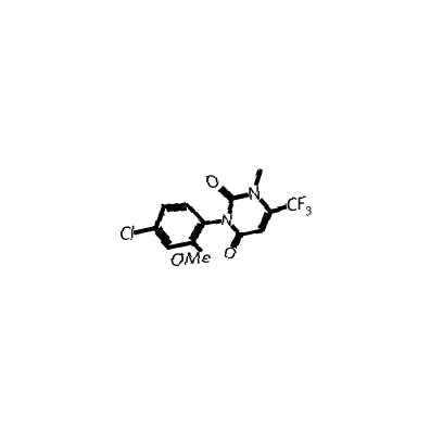 COc1cc(Cl)ccc1-n1c(=O)cc(C(F)(F)F)n(C)c1=O